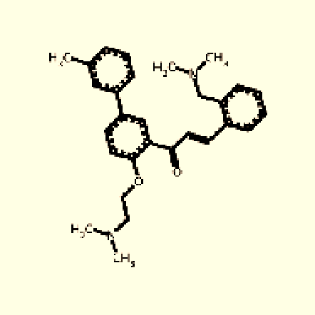 Cc1cccc(-c2ccc(OCCN(C)C)c(C(=O)C=Cc3ccccc3CN(C)C)c2)c1